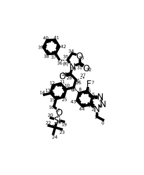 CCn1nnc2c(F)c([C@H](c3ccc(C)c(CO[Si](C)(C)C(C)(C)C)c3)[C@@H](C)C(=O)N3C(=O)OC[C@H]3Cc3ccccc3)ccc21